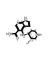 NC(=O)c1cnc2[nH]ccc2c1N[C@H]1CCNC[C@@H]1F